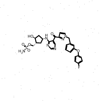 NS(=O)(=O)OC[C@H]1C[C@@H](Nc2ncncc2C(=O)c2ccn(Cc3cccc(Oc4ccc(F)cc4)c3)n2)C[C@@H]1O